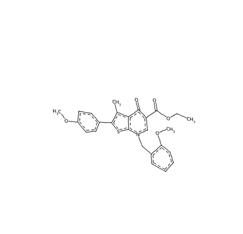 CCOC(=O)c1cn(Cc2ccccc2OC)c2sc(-c3ccc(OC)cc3)c(C)c2c1=O